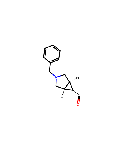 O=C[C@@H]1[C@H]2CN(Cc3ccccc3)C[C@@H]12